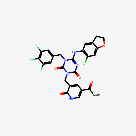 CNC(=O)c1c[nH]c(=O)c(Cn2c(=O)nc(Nc3cc4c(cc3Cl)OCC4)n(Cc3cc(F)c(F)c(F)c3)c2=O)c1